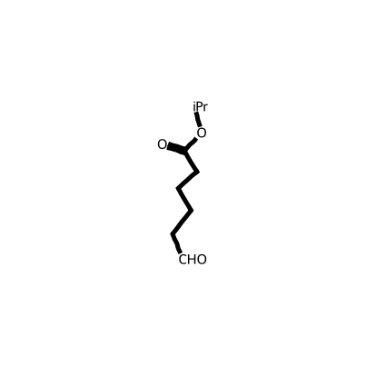 CC(C)OC(=O)CCCCC=O